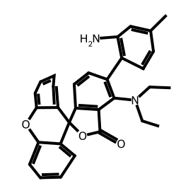 CCN(CC)c1c(-c2ccc(C)cc2N)ccc2c1C(=O)OC21c2ccccc2Oc2ccccc21